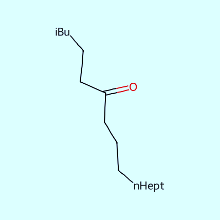 CCCCCCCCCCC(=O)CCC(C)CC